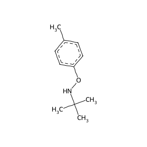 Cc1ccc(ONC(C)(C)C)cc1